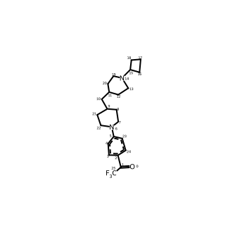 O=C(c1ccc(N2CCC(CC3CCN(C4CCC4)CC3)CC2)cc1)C(F)(F)F